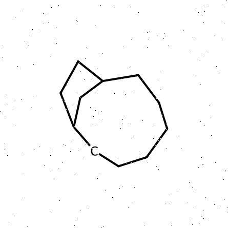 C1CCCC2CCC(CC1)C2